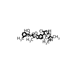 Cc1cccc([C@@H](CO)NC(=O)[C@@H](C)N2Cc3ccc(-c4nc(Nc5c(C)nn(C)c5C)ncc4Cl)cc3C2=O)c1